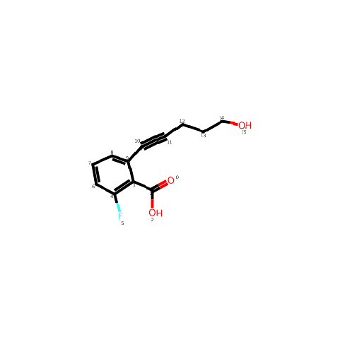 O=C(O)c1c(F)cccc1C#CCCCO